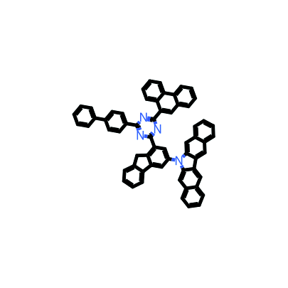 c1ccc(-c2ccc(-c3nc(-c4cc(-n5c6cc7ccccc7cc6c6cc7ccccc7cc65)cc5c4Cc4ccccc4-5)nc(-c4cc5ccccc5c5ccccc45)n3)cc2)cc1